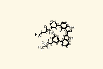 CCCC(=O)Nc1cncc(-c2ccc3[nH]nc(-c4nc5c(-c6cc(F)cc(CNS(C)(=O)=O)c6)nccc5[nH]4)c3c2F)c1